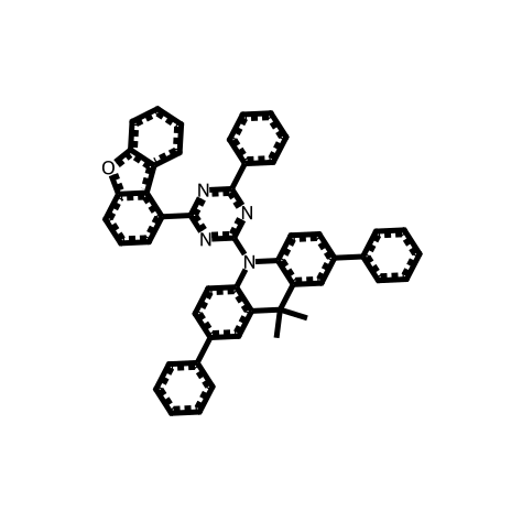 CC1(C)c2cc(-c3ccccc3)ccc2N(c2nc(-c3ccccc3)nc(-c3cccc4oc5ccccc5c34)n2)c2ccc(-c3ccccc3)cc21